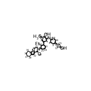 CCc1c(-c2cc(Nc3ccc(N4CC(O)C4)cn3)c(=O)n(C)c2)cccc1N1CCn2c(cc3c2CCCC3)C1=O